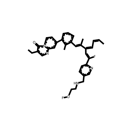 C\C=C/C=C(/C=C(\F)c1ccc(CNCCOF)cn1)C(\C)=C\c1cccc(-c2ccn3c(=O)c(CC)cnc3c2)c1C